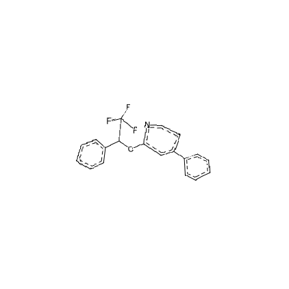 FC(F)(F)C(Oc1cc(-c2ccccc2)ccn1)c1ccccc1